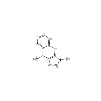 OCc1nnn(S)c1Cc1ccccc1